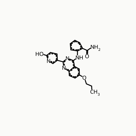 CCCOc1ccc2nc(-c3ccc(O)nc3)nc(Nc3ccccc3C(N)=O)c2c1